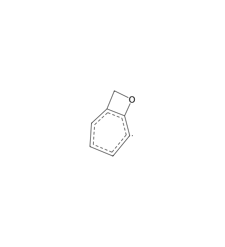 [c]1cccc2c1OC2